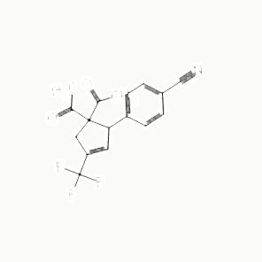 CC(=O)C1(C(C)=O)CC(C(F)(F)F)=CC1c1ccc(C#N)cc1